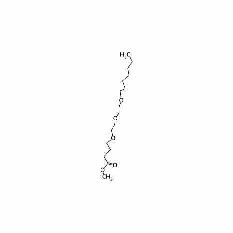 CCCCCCCOCCOCCOCCCC(=O)OC